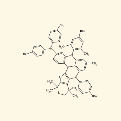 Cc1cc2c3c(c1)N(c1c(C)cc(C(C)(C)C)cc1C)c1cc(N(c4ccc(C(C)(C)C)cc4)c4ccc(C(C)(C)C)cc4)ccc1B3c1oc3c(c1N2c1ccc(C(C)(C)C)cc1)C(C)(C)CCC3(C)C